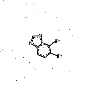 CC(C)c1ccc2ncnn2c1C(C)C